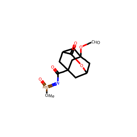 CO[SH](=O)=NC(=O)C12CC3CC(OC=O)(CC(C1)C(=O)O3)C2